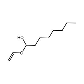 C=COC(O)CCCCCCC